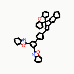 c1ccc2c(c1)Oc1ccccc1C21c2cc(-c3ccc(-c4cc(-c5nc6ccccc6o5)cc(-c5nc6ccccc6o5)c4)cc3)ccc2-c2cc3ccccc3cc21